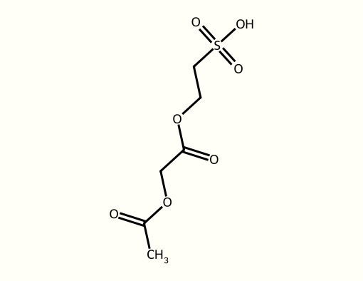 CC(=O)OCC(=O)OCCS(=O)(=O)O